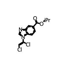 CC(C)OC(=O)c1ccc2c(c1)ncn2/C(Cl)=C/Cl